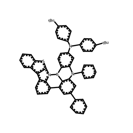 CC(C)(C)c1ccc(N(c2ccc(C(C)(C)C)cc2)c2ccc3c(c2)N(c2ccccc2)c2cc(-c4ccccc4)cc4c2B3n2c3sc5ccccc5c3c3cccc-4c32)cc1